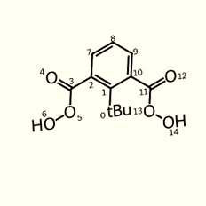 CC(C)(C)c1c(C(=O)OO)cccc1C(=O)OO